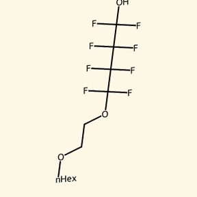 CCCCCCOCCOC(F)(F)C(F)(F)C(F)(F)C(O)(F)F